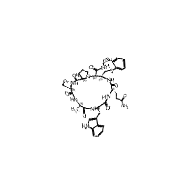 CC(C)C[C@H]1NC(=O)[C@H]2CCCN2[C@@H](C(=O)NC(C)(C)C)[C@@H](CSc2ccccc2)NC(=O)[C@H](CCC(N)=O)NC(=O)[C@H](Cc2c[nH]c3ccccc23)NC(=O)[C@@H](C)NC1=O